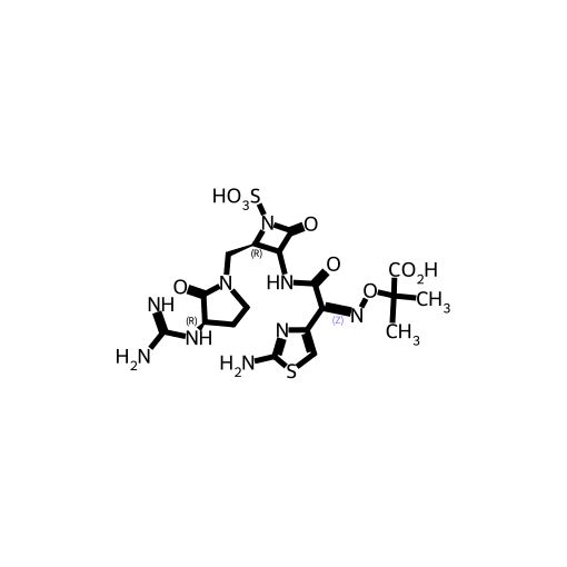 CC(C)(O/N=C(\C(=O)NC1C(=O)N(S(=O)(=O)O)[C@@H]1CN1CC[C@@H](NC(=N)N)C1=O)c1csc(N)n1)C(=O)O